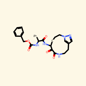 CC(C)C(NC(=O)OCc1ccccc1)C(=O)NC1CCCn2cc(cn2)CCNC(=O)C1=O